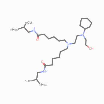 CCCCCCCCC(CCCCCC)CNC(=O)CCCCCN(CCCCCC(=O)NCC(CCCCCC)CCCCCCCC)CCN(CCO)C1CCCCC1